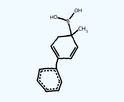 CC1(B(O)O)C=CC(c2ccccc2)=CC1